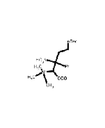 CCCCCCCCCCCCC(C(C)C)(C(C(=O)[O-])[N+](C)(C)C)S(=O)(=O)O